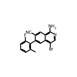 Cc1cccc(F)c1-c1cc2c(Br)cnc(N)c2cc1C#N